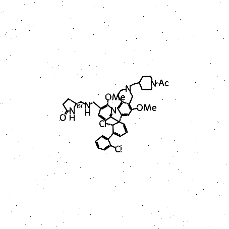 COc1cc(C2(c3ccc(CNC[C@@H]4CCC(=O)N4)c(OC)n3)C=CC=C(c3ccccc3Cl)C2Cl)cc2c1CN(CC1CCN(C(C)=O)CC1)CC2